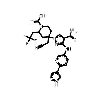 N#CCC1(n2cc(C(N)=O)c(Nc3ccc(-c4cn[nH]c4)nc3)n2)CCN(C(=O)O)C(CC(F)(F)F)C1